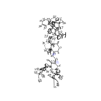 C=C1/C(=C\C=C2/CCC[C@]3(C)[C@@H]([C@H](C)C(O)C(CC4(C5(CCC)OCCO5)CC4)S(=O)(=O)c4ccccc4)CC[C@@H]23)C[C@@H](O[Si](C)(C)C(C)(C)C)C[C@@H]1O[Si](C)(C)C(C)(C)C